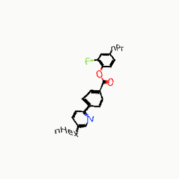 CCCCCCc1ccc(-c2ccc(C(=O)Oc3ccc(CCC)cc3F)cc2)nc1